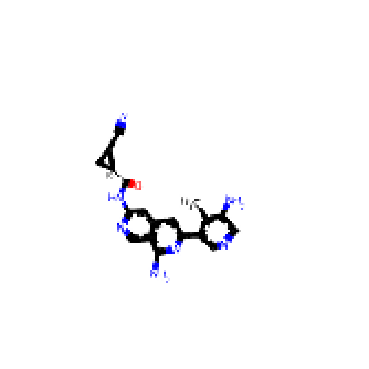 Cc1c(N)cncc1-c1cc2cc(NC(=O)[C@@H]3CC3C#N)ncc2c(N)n1